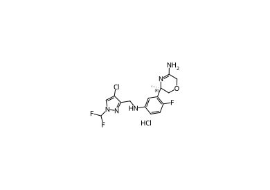 C[C@@]1(c2cc(NCc3nn(C(F)F)cc3Cl)ccc2F)COCC(N)=N1.Cl